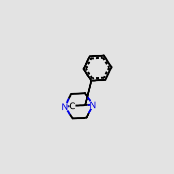 c1ccc(C2CN3CCN2CC3)cc1